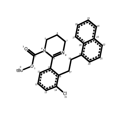 CC(C)(C)OC(=O)N1CCCN=C1c1cccc(Cl)c1CCc1cccc2ccccc12